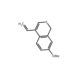 C=CC1=CSCc2cc(OC)ccc21